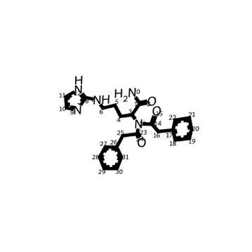 NC(=O)C(CCCNc1ncc[nH]1)N(C(=O)Cc1ccccc1)C(=O)Cc1ccccc1